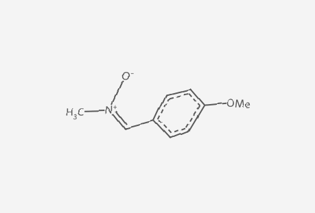 COc1ccc(C=[N+](C)[O-])cc1